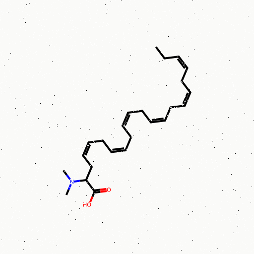 CC/C=C\C/C=C\C/C=C\C/C=C\C/C=C\C/C=C\CC(C(=O)O)N(C)C